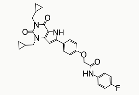 O=C(COc1ccc(-c2cc3c([nH]2)c(=O)n(CC2CC2)c(=O)n3CC2CC2)cc1)Nc1ccc(F)cc1